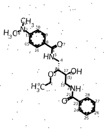 CCO[C@H](CNC(=O)c1ccc(N(C)C)cc1)[C@@H](O)CNC(=O)c1ccccc1